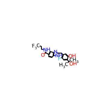 CC(C)(O)c1cc(F)c(Cc2nc3cc(C(=O)NCCC(F)(F)F)ccc3[nH]2)cc1O